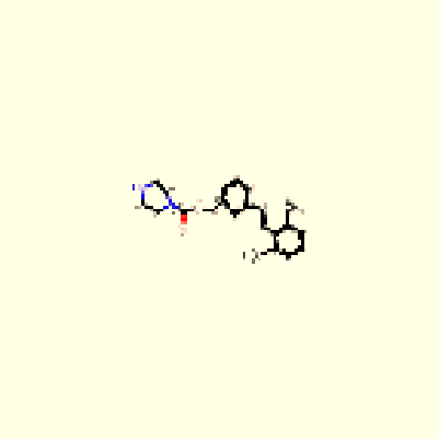 Cc1cccc(C)c1C=Cc1cccc(CCC(=O)N2CCNCC2)c1